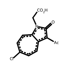 CC(=O)c1c2ccc(Cl)ccc-2n(CC(=O)O)c1=O